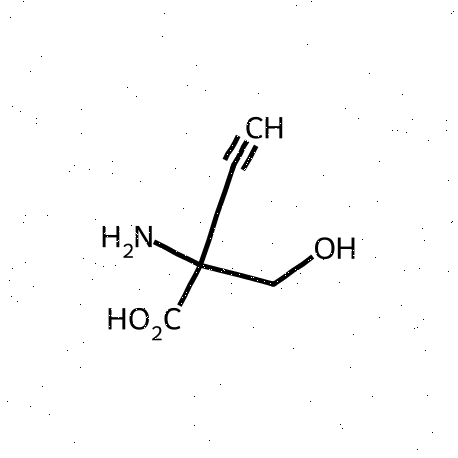 C#CC(N)(CO)C(=O)O